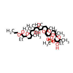 C=CCOC(=O)[C@H](CC)[C@H]1CC[C@H](C)[C@H]([C@@H](C)[C@H](O)[C@H](C)C(=O)[C@H](CC)[C@H]2O[C@]3(C=C[C@@H](OS(C)(=O)=O)[C@]4(CC[C@@](C)([C@H]5CC[C@](O)(CC)[C@H](C)O5)O4)O3)[C@H](C)C[C@@H]2C)O1